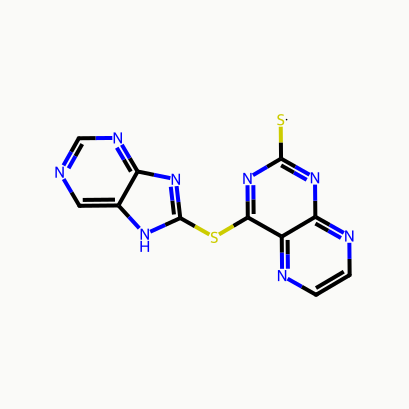 [S]c1nc(Sc2nc3ncncc3[nH]2)c2nccnc2n1